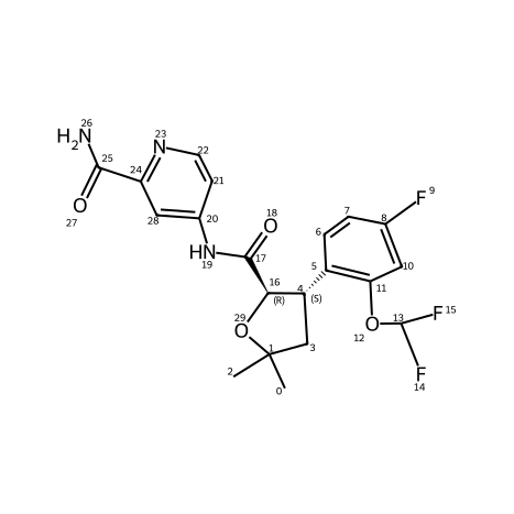 CC1(C)C[C@@H](c2ccc(F)cc2OC(F)F)[C@H](C(=O)Nc2ccnc(C(N)=O)c2)O1